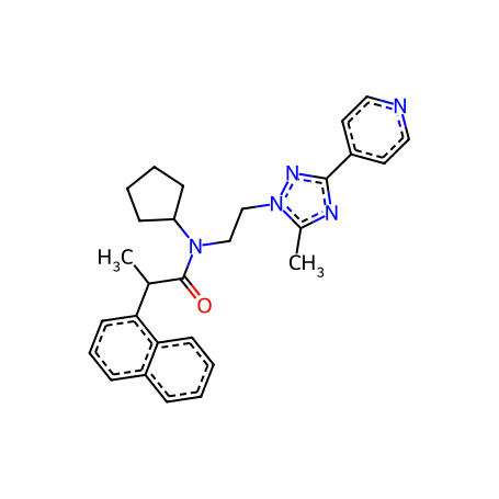 Cc1nc(-c2ccncc2)nn1CCN(C(=O)C(C)c1cccc2ccccc12)C1CCCC1